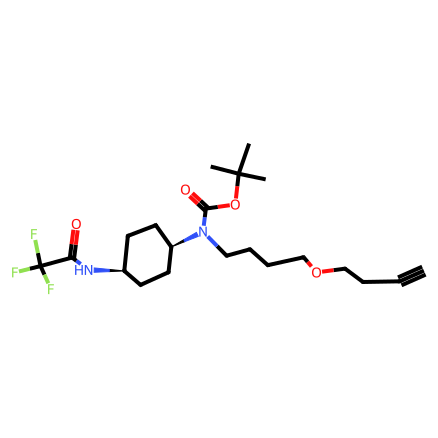 C#CCCOCCCCN(C(=O)OC(C)(C)C)[C@H]1CC[C@@H](NC(=O)C(F)(F)F)CC1